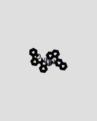 N=C(c1ccccc1/N=C/N1c2cc3ccccc3cc2-c2cccc3cccc1c23)c1cccc2c1oc1ccccc12